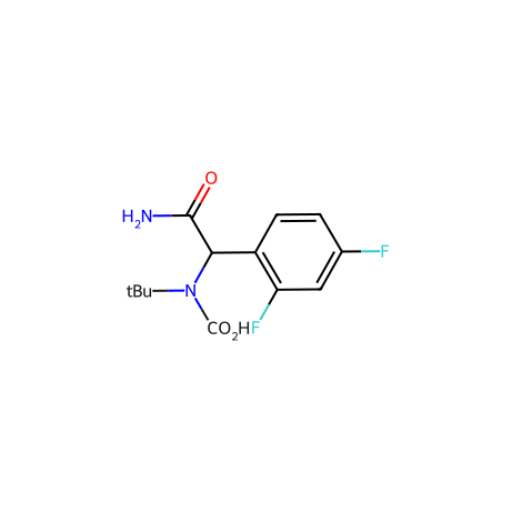 CC(C)(C)N(C(=O)O)C(C(N)=O)c1ccc(F)cc1F